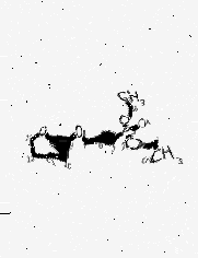 CCOP(=O)(C=CCOC1CCCCO1)OCC